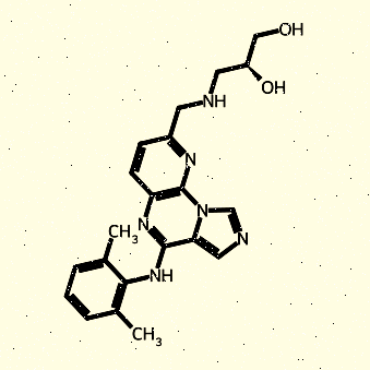 Cc1cccc(C)c1Nc1nc2ccc(CNC[C@H](O)CO)nc2n2cncc12